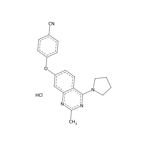 Cc1nc(N2CCCC2)c2ccc(Oc3ccc(C#N)cc3)cc2n1.Cl